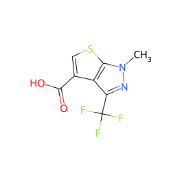 Cn1nc(C(F)(F)F)c2c(C(=O)O)csc21